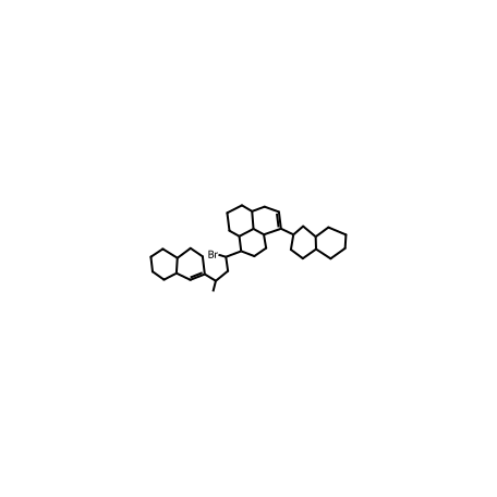 CC(CC(Br)C1CCC2C(C3CCC4CCCCC4C3)=CCC3CCCC1C32)C1=CC2CCCCC2CC1